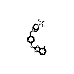 CS(=O)(=O)N1CC2CC1CN2Cc1ccc(Oc2nc3cccc(F)c3s2)cc1